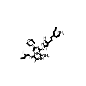 C=C/C=C(\C=C/N)CCc1cc(NC(=N/C(=C)N2CCOCC2)/N=C(\N)N[C@@H](C)/C(N)=N/C=C(/F)C=C)n[nH]1